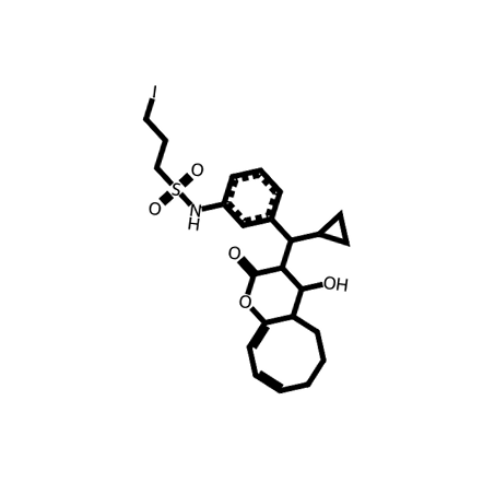 O=C1OC2=CC=CCCCC2C(O)C1C(c1cccc(NS(=O)(=O)CCCI)c1)C1CC1